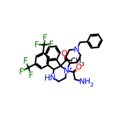 CC(=O)C1(c2ccccc2)C(c2cc(C(F)(F)F)cc(C(F)(F)F)c2)NCC[N+]1(C(=O)CN)C1CCN(Cc2ccccc2)CC1